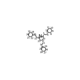 C(=Cc1cc(C=Cc2ccccc2)nc(C=Cc2ccccc2)c1)c1ccccc1